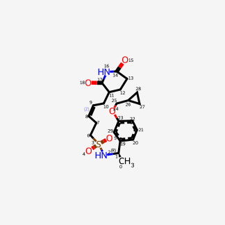 C[C@@H](NS(=O)(=O)CC/C=C\CC1CCC(=O)NC1=O)c1cccc(OCC2CC2)c1